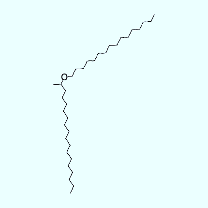 CCCCCCCCCCCCCCCCOC(C)CCCCCCCCCCCCCCCC